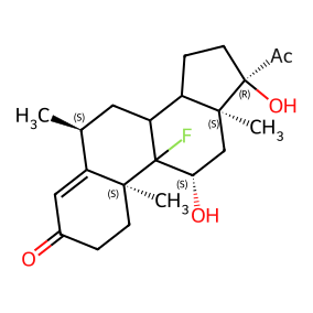 CC(=O)[C@@]1(O)CCC2C3C[C@H](C)C4=CC(=O)CC[C@]4(C)C3(F)[C@@H](O)C[C@@]21C